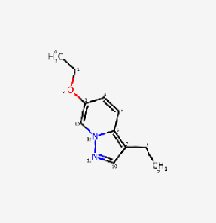 CCOc1ccc2c(CC)cnn2c1